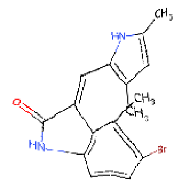 Cc1cc(C)c(C=C2C(=O)Nc3ccc(Br)c(C)c32)[nH]1